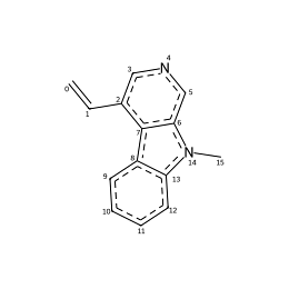 C=Cc1cncc2c1c1ccccc1n2C